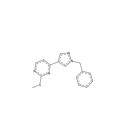 CSc1nccc(-c2cnn(Cc3ccccc3)c2)n1